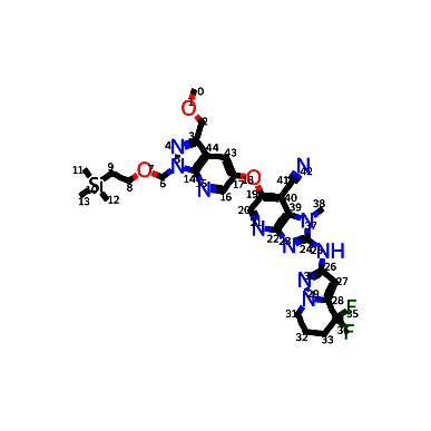 COCc1nn(COCC[Si](C)(C)C)c2ncc(Oc3cnc4nc(Nc5cc6n(n5)CCCC6(F)F)n(C)c4c3C#N)cc12